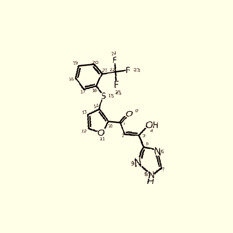 O=C(C=C(O)c1nc[nH]n1)c1occc1Sc1ccccc1C(F)(F)F